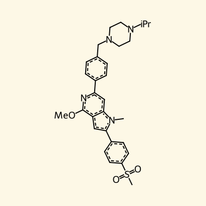 COc1nc(-c2ccc(CN3CCN(C(C)C)CC3)cc2)cc2c1cc(-c1ccc(S(C)(=O)=O)cc1)n2C